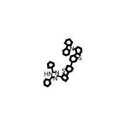 c1ccc(C2=NC(c3cccc4c3sc3cc(-c5ccc6c(c5)sc5cccc(-n7c8ccccc8c8ccccc87)c56)ccc34)=NC(c3ccccc3)N2)cc1